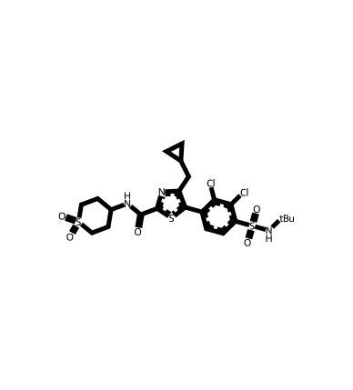 CC(C)(C)NS(=O)(=O)c1ccc(-c2sc(C(=O)NC3CCS(=O)(=O)CC3)nc2CC2CC2)c(Cl)c1Cl